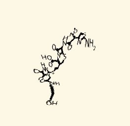 CON=C(C(=O)NC1C(=O)N2C(C(=O)O)=C(C=CSc3n[nH]c(=O)c(=O)n3CC(=O)NCCO)CSC12)c1csc(N)n1